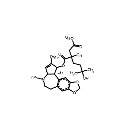 CCCN1CCc2cc3c(cc2[C@@H]2C(OC(=O)C(O)(CCC(C)(C)O)CC(=O)OC)C(OC)=CC21)OCO3